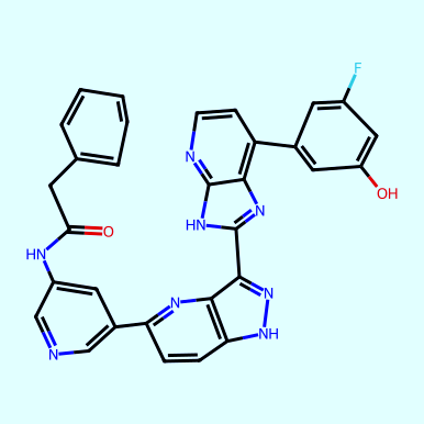 O=C(Cc1ccccc1)Nc1cncc(-c2ccc3[nH]nc(-c4nc5c(-c6cc(O)cc(F)c6)ccnc5[nH]4)c3n2)c1